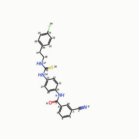 N#Cc1cccc(C(=O)Nc2ccc(NC(=S)NCCc3ccc(F)cc3)cc2)c1